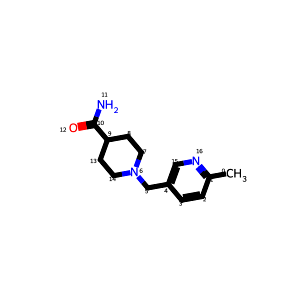 Cc1ccc(CN2CCC(C(N)=O)CC2)cn1